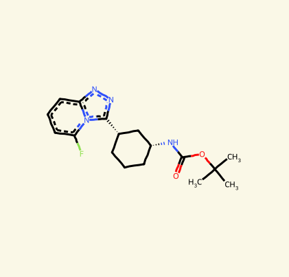 CC(C)(C)OC(=O)N[C@@H]1CCC[C@H](c2nnc3cccc(F)n23)C1